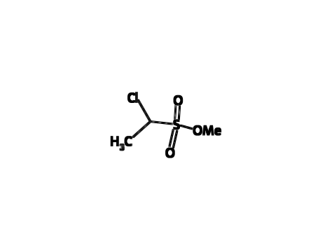 COS(=O)(=O)C(C)Cl